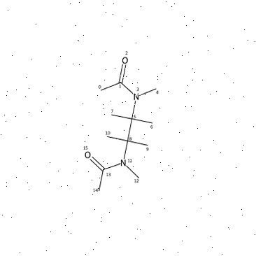 CC(=O)N(C)C(C)(C)C(C)(C)N(C)C(C)=O